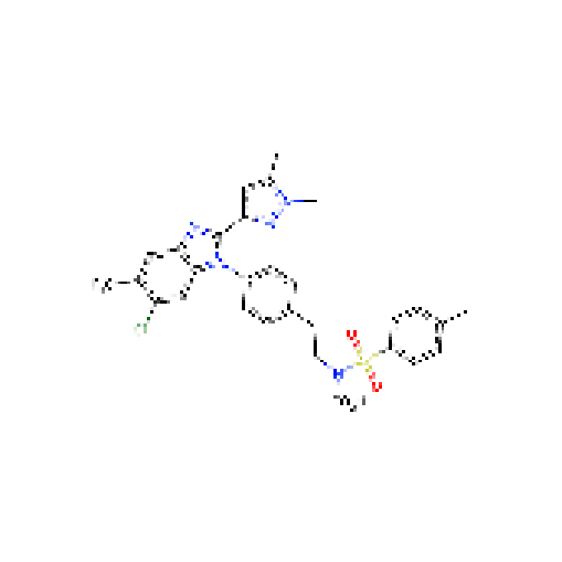 Cc1ccc(S(=O)(=O)N(CCc2ccc(-n3c(-c4cc(C)n(C)n4)nc4cc(C(F)(F)F)c(Cl)cc43)cc2)C(=O)O)cc1